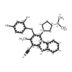 Cc1c(Cc2ccc(F)cc2F)c(N2CC[C@H](N(C)C)C2)n2c(nc3ccccc32)c1C#N